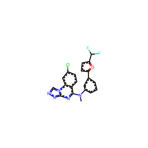 CN(c1cccc(-c2ccc(C(F)F)o2)c1)c1nc2nncn2c2cc(Cl)ccc12